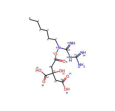 CCCCCCN(OC(=O)CC(O)(CC(=O)O)C(=O)O)C(=N)NC(=N)N